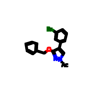 CC(=O)n1cc(-c2cccc(Br)c2)c(OCc2ccccc2)n1